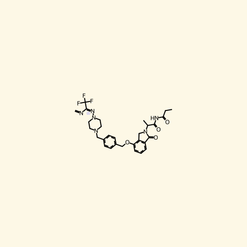 C=N/C(=N\N1CCN(Cc2ccc(COc3cccc4c3CN(C(C)C(=O)NC(=O)CC)C4=O)cc2)CC1)C(F)(F)F